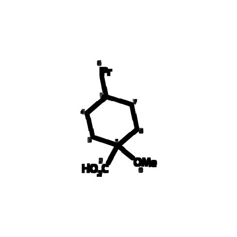 COC1(C(=O)O)CCC(C(C)C)CC1